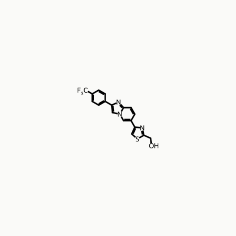 OCc1nc(-c2ccc3nc(-c4ccc(C(F)(F)F)cc4)cn3c2)cs1